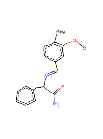 CCOc1cc(/C=N/C(C(N)=O)c2ccccc2)ccc1OC